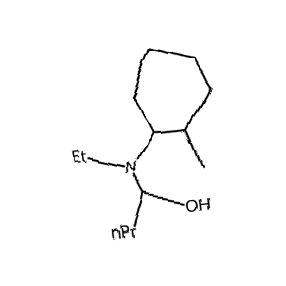 CCCC(O)N(CC)C1CCCCC1C